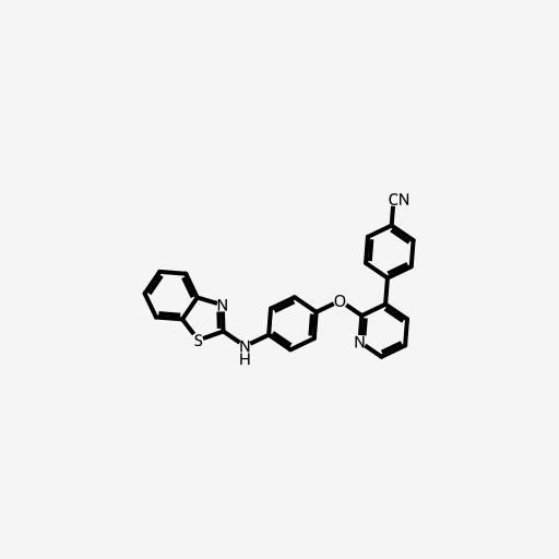 N#Cc1ccc(-c2cccnc2Oc2ccc(Nc3nc4ccccc4s3)cc2)cc1